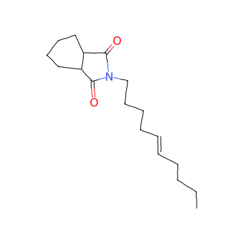 CCCCC=CCCCCN1C(=O)C2CCCCC2C1=O